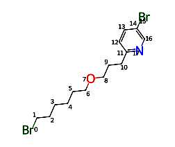 BrCCCCCCOCCCc1ccc(Br)cn1